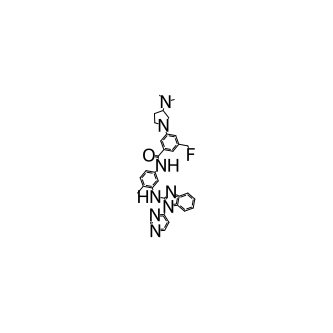 Cc1ccc(NC(=O)c2cc(CF)cc(N3CCC(N(C)C)C3)c2)cc1Nc1nc2ccccc2n1-c1ccncn1